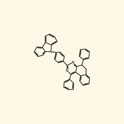 c1ccc(-c2nc(-c3ccc(-n4c5ccccc5c5ccccc54)cc3)nc3c2-c2ccccc2CC3c2ccccc2)cc1